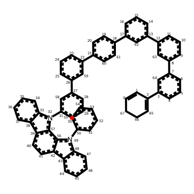 C1=CC(c2cccc(-c3cccc(-c4cccc(-c5ccc(-c6cccc(-c7cccc(-n8c9ccccc9c9ccc%10c%11ccccc%11n(-c%11ccccc%11)c%10c98)c7)c6)cc5)c4)c3)c2)=CCC1